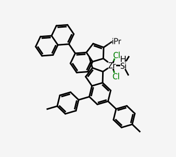 CC1=Cc2c(-c3ccc(C)cc3)cc(-c3ccc(C)cc3)cc2[CH]1[Zr]([Cl])([Cl])([CH]1C(C(C)C)=Cc2c(-c3cccc4ccccc34)cccc21)[SiH](C)C